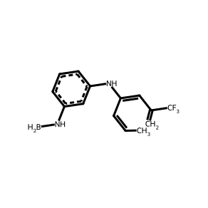 BNc1cccc(NC(/C=C\C)=C/C(=C)C(F)(F)F)c1